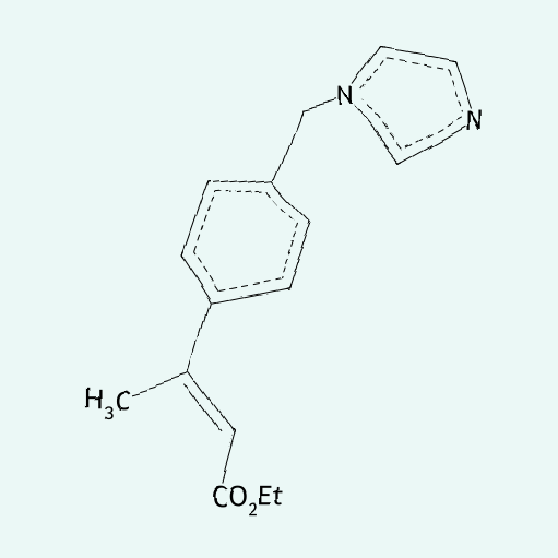 CCOC(=O)C=C(C)c1ccc(Cn2ccnc2)cc1